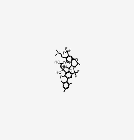 Cc1cc(C)c(-c2cc(C(F)(F)F)c(F)c([C@](O)(CC(=O)O)NC(=O)C(CC(C)C)n3cc(CCN(C)C)c(C(F)(F)F)cc3=O)c2F)c(C)c1